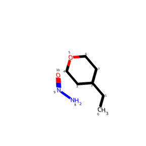 CCC1CCOCC1.NN=O